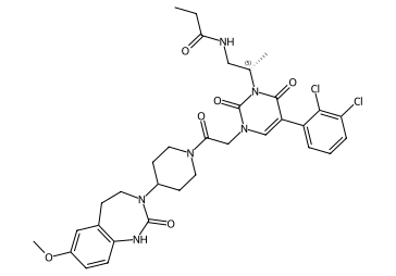 CCC(=O)NC[C@H](C)n1c(=O)c(-c2cccc(Cl)c2Cl)cn(CC(=O)N2CCC(N3CCc4cc(OC)ccc4NC3=O)CC2)c1=O